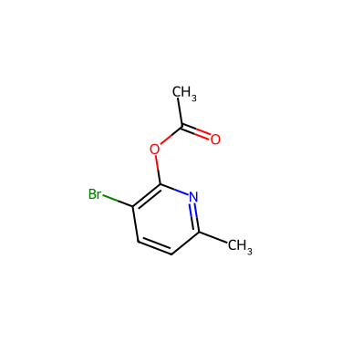 CC(=O)Oc1nc(C)ccc1Br